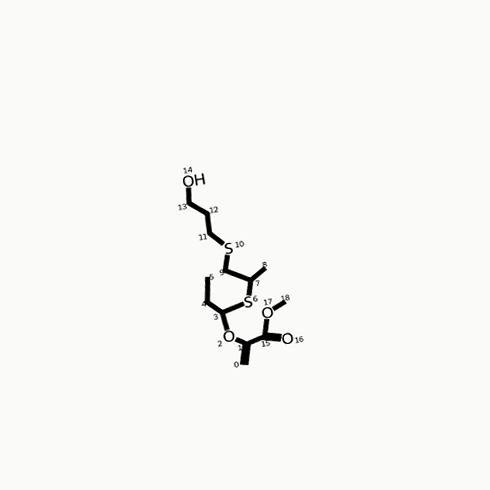 C=C(OC(CC)SC(C)CSCCCO)C(=O)OC